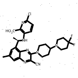 Cc1cc([C@@H](C)Nc2ccc(Cl)nc2C(=O)O)c2nc(N3CCC(N4CCC(F)(F)CC4)CC3)c(C#N)nc2c1